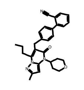 CCCc1c(Cc2ccc(-c3ccccc3C#N)cc2)c(=O)n(C2CCOCC2)c2cc(C)nn12